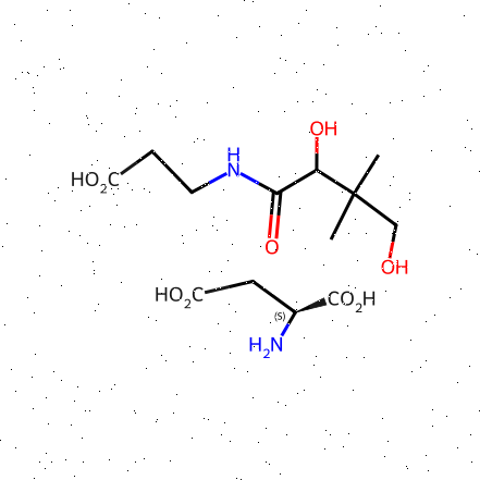 CC(C)(CO)C(O)C(=O)NCCC(=O)O.N[C@@H](CC(=O)O)C(=O)O